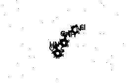 O=C(NCC1CCN(Cl)CC1)c1ccc2c(c1)NC(=O)c1ccccc1S2